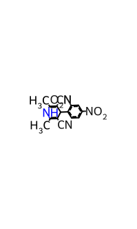 CC1=C(C#N)C(c2ccc([N+](=O)[O-])cc2[N+](=O)[O-])C(C#N)=C(C)N1